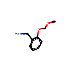 COCOc1[c]cccc1CN